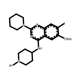 COc1cc2c(NC3CCN(C(C)C)CC3)nc(N3CCCCC3)nc2cc1I